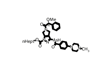 CCCCCCCOC(=O)n1nc([AsH]C(=O)c2ccc(N3CCN(C)CC3)cc2)c2c1CN(C(=O)[C@H](OC)c1ccccc1)C2